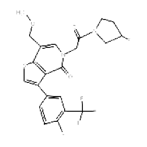 COCc1cn(CC(=O)N2CCC(F)C2)c(=O)c2c(-c3ccc(F)c(C(F)(F)F)c3)csc12